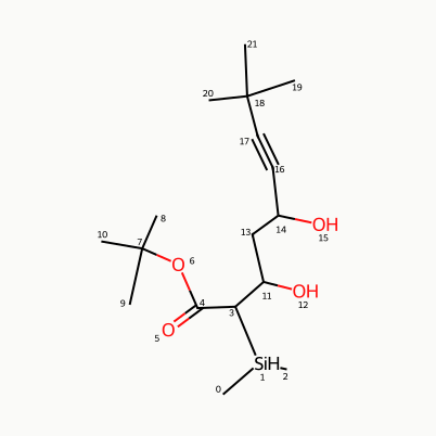 C[SiH](C)C(C(=O)OC(C)(C)C)C(O)CC(O)C#CC(C)(C)C